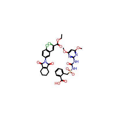 CCOC(=O)/C(Cl)=C/c1cc(N2C(=O)C3=C(CCCC3)C2=O)ccc1Cl.COc1cc(OC)nc(NC(=O)NS(=O)(=O)Cc2ccccc2C(=O)O)n1